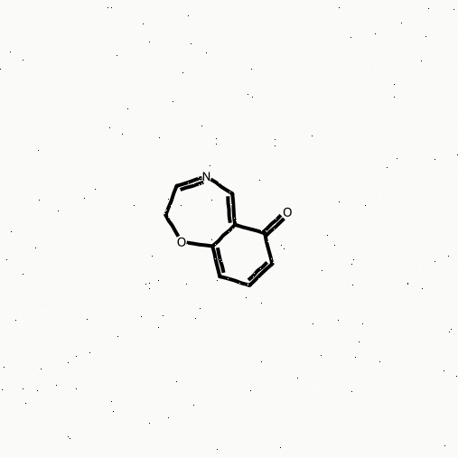 O=C1C=CC=C2OCC=NC=C12